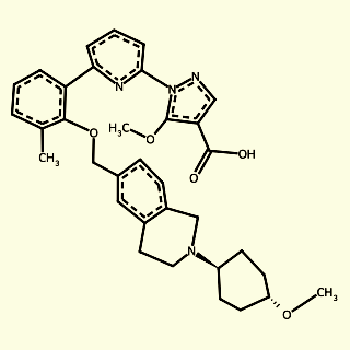 COc1c(C(=O)O)cnn1-c1cccc(-c2cccc(C)c2OCc2ccc3c(c2)CCN([C@H]2CC[C@H](OC)CC2)C3)n1